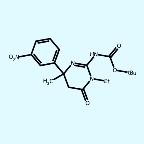 CCN1C(=O)CC(C)(c2cccc([N+](=O)[O-])c2)N=C1NC(=O)OC(C)(C)C